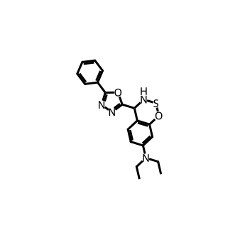 CCN(CC)c1ccc2c(c1)OSNC2c1nnc(-c2ccccc2)o1